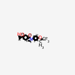 CC(Oc1ccc(N2CC[C@]3(CC[C@@](O)(C4CC4)CC3)C2=O)cc1)C(F)(F)F